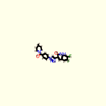 CC1CCN(C(=O)c2ccc(-n3cc(-c4cc5cc(F)c(F)cc5[nH]c4=O)nn3)cc2)CC1